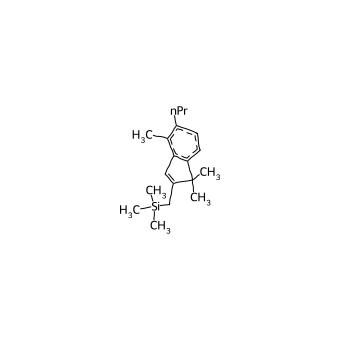 CCCc1ccc2c(c1C)C=C(C[Si](C)(C)C)C2(C)C